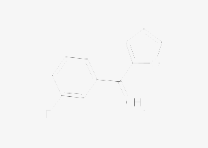 C=C(c1cccc(F)c1)c1ccco1